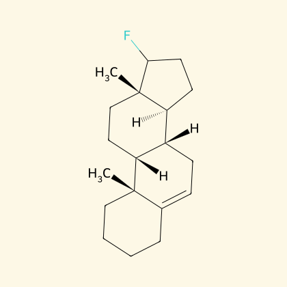 C[C@]12CCCCC1=CC[C@@H]1[C@H]2CC[C@]2(C)C(F)CC[C@@H]12